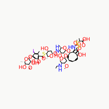 CCN[C@H]1CO[C@@H](O[C@H]2[C@H](O[C@H]3C#CC=CC#C[C@]4(O)CC(=O)C(NC(=O)OC)=C3/C4=C\CSSC(C)C(=O)O)O[C@H](C)[C@@H](NO[C@H]3C[C@H](O)[C@H](SC(=O)c4c(C)c(I)c(O[C@@H]5O[C@@H](C)[C@H](O)[C@@H](OC)[C@H]5O)c(OC)c4OC)[C@@H](C)O3)[C@@H]2O)C[C@@H]1OC